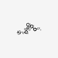 CC1(C)OC[C@H](COc2cncc(NC(=O)N3c4nc(-c5cccc(C(F)(F)F)c5)ncc4N4CCC[C@H]3C4)c2)O1